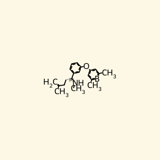 C=C(C)CC[C@@H](NC)c1cccc(Oc2cc(C)bc(C)c2)c1